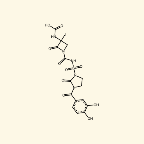 O=C(O)NC1(I)CN(C(=O)NS(=O)(=O)N2CCN(C(=O)c3ccc(O)c(O)c3)C2=O)C1=O